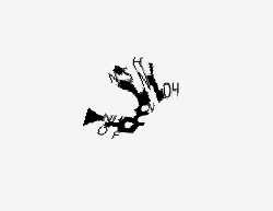 Cc1cc(F)c(C(=O)NC2CC2)cc1-c1cnc(N[C@@H](C)CO)c(-c2cncs2)c1